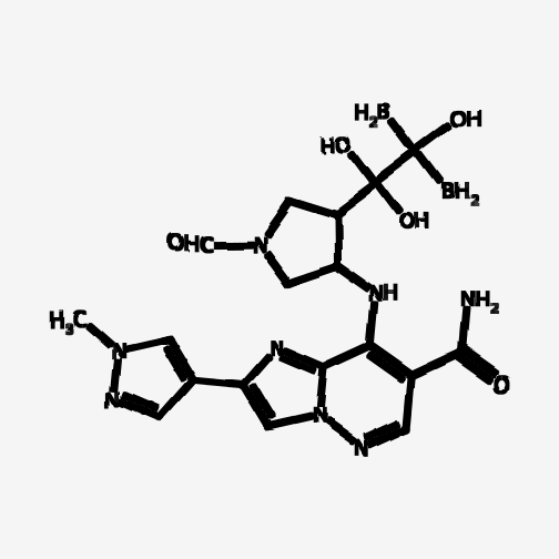 BC(B)(O)C(O)(O)C1CN(C=O)CC1Nc1c(C(N)=O)cnn2cc(-c3cnn(C)c3)nc12